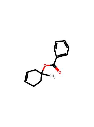 CC1(OC(=O)c2ccccc2)CC=CCC1